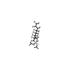 CC(C)O[Si](OC(C)C)(OC(C)C)C(F)C(F)(F)C(F)(F)C(F)(F)C(F)(F)C(F)C(F)C(F)F